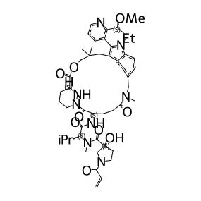 C=CC(=O)N1CC[C@@](O)(C(=O)N(C)[C@H](C(=O)N[C@H]2CCC(=O)N(C)Cc3ccc4c(c3)c(c(-c3cccnc3[C@H](C)OC)n4CC)CC(C)(C)COC(=O)[C@@H]3CCCN(N3)C2=O)C(C)C)C1